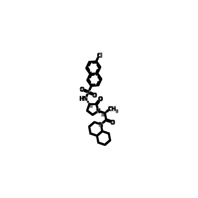 C[C@@H](C(=O)N1CCCC2CCCCC21)N1CC[C@H](NS(=O)(=O)c2ccc3cc(Cl)ccc3c2)C1=O